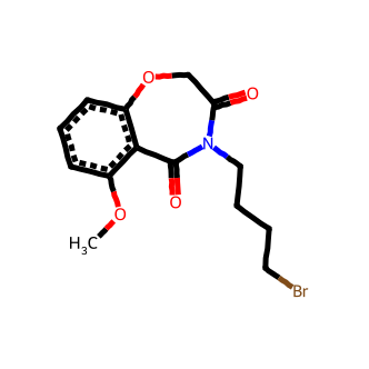 COc1cccc2c1C(=O)N(CCCCBr)C(=O)CO2